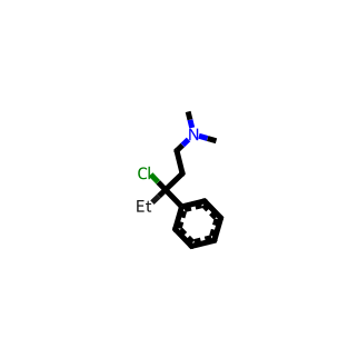 CCC(Cl)(CCN(C)C)c1ccccc1